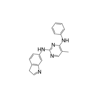 Cc1cnc(Nc2ccc3c(c2)N=CC3)nc1Nc1ccccc1